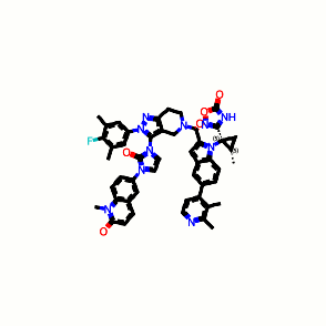 Cc1cc(-n2nc3c(c2-n2ccn(-c4ccc5c(ccc(=O)n5C)c4)c2=O)CN(C(=O)c2cc4cc(-c5ccnc(C)c5C)ccc4n2[C@@]2(c4noc(=O)[nH]4)C[C@@H]2C)CC3)cc(C)c1F